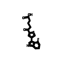 O=C(O)CCCC(=O)c1cc(-c2c[nH]c3cccc(F)c23)cs1